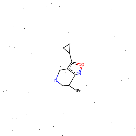 CC(C)C1CNCc2c1noc2C1CC1